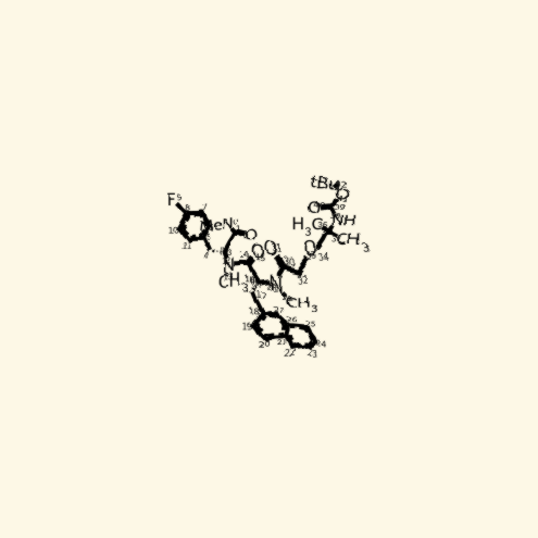 CNC(=O)[C@@H](Cc1ccc(F)cc1)N(C)C(=O)[C@@H](Cc1ccc2ccccc2c1)N(C)C(=O)COCC(C)(C)NC(=O)OC(C)(C)C